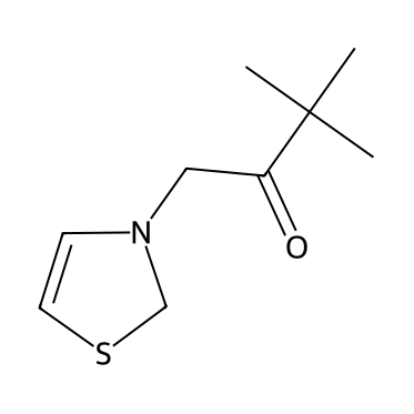 CC(C)(C)C(=O)CN1C=CSC1